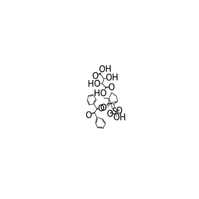 CC12CCC(C(S(=O)(=O)O)C1=O)C2(C)C.O=C(C(=O)c1ccccc1)c1ccccc1.O=C(O)C(O)C(O)C(=O)O